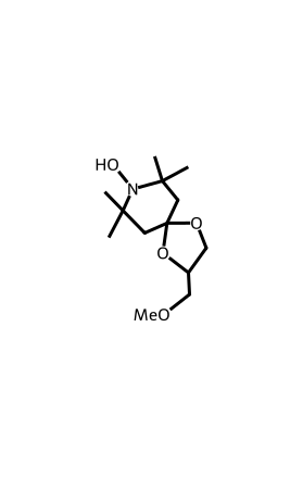 COCC1COC2(CC(C)(C)N(O)C(C)(C)C2)O1